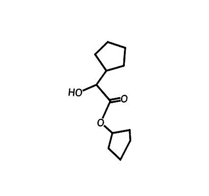 O=C(OC1CCCC1)C(O)C1CCCC1